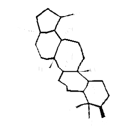 CC(C)C1CC[C@]2(C)CC[C@]3(C)[C@H](CC[C@@H]4[C@@]5(C)CCC(=O)C(C)(C)C5CC[C@]43C)C12